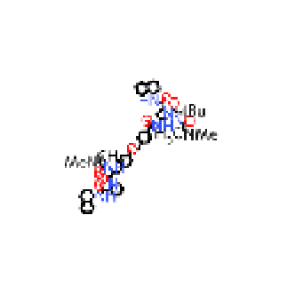 CNC(C)C(=O)NC(Cc1ccc(OCc2ccc(C(=O)N[C@H]3C[C@@H](C(=O)N[C@@H]4CCCc5ccccc54)N(C(=O)C(NC(=O)C(C)NC)C(C)(C)C)C3)cc2)cc1)C(=O)N1CC=CCC1C(=O)N[C@@H]1CCCc2ccccc21